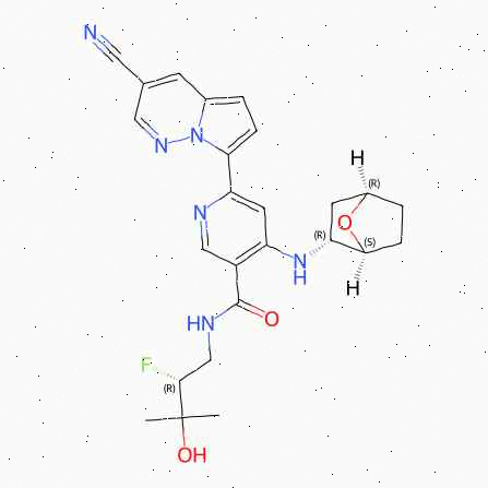 CC(C)(O)[C@H](F)CNC(=O)c1cnc(-c2ccc3cc(C#N)cnn23)cc1N[C@@H]1C[C@H]2CC[C@@H]1O2